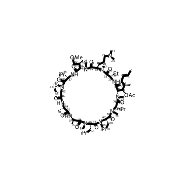 C/C=C/C[C@@H](C)[C@@H](OC(C)=O)[C@H]1C(=O)N[C@@H](CC)C(=O)N(C)[C@H](CCCN(C)C)C(=O)N(C)[C@@H]([C@H](C)COC)C(=O)N[C@@H](C(C)C)C(=O)N(C)[C@@H](CC(C)C)C(=O)N[C@@H](C)C(=O)N[C@H](C)C(=O)N(C)[C@@H](CC(C)C)C(=O)N(C)[C@@H](CC(C)C)C(=O)N(C)[C@@H](C(C)C)C(=O)N1C